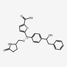 O=C1CCC(CO[C@@H](c2ccc(C(O)Cc3ccccc3)cc2)c2ccc(C(=O)O)o2)N1